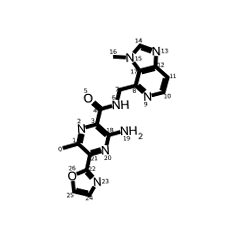 Cc1nc(C(=O)NCc2nccc3ncn(C)c23)c(N)nc1-c1ncco1